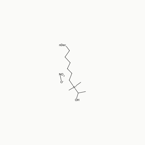 CCCCCCCCCCCCCCCC[N+](C)(C)C(C)O.O=[N+]([O-])[O-]